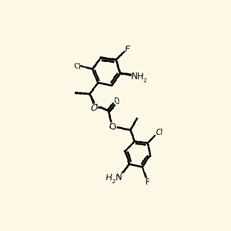 CC(OC(=O)OC(C)c1cc(N)c(F)cc1Cl)c1cc(N)c(F)cc1Cl